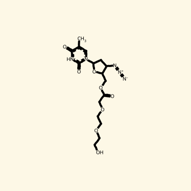 Cc1cn(C2CC(N=[N+]=[N-])C(COC(=O)COCCOCCO)O2)c(=O)[nH]c1=O